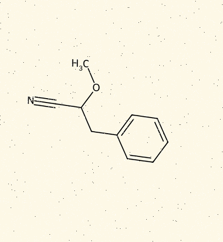 COC(C#N)Cc1ccccc1